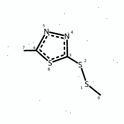 CSSc1nnc(C)s1